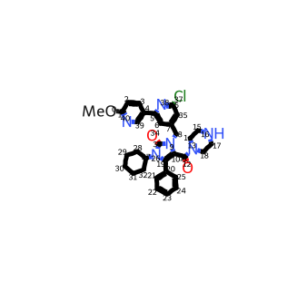 COc1ccc(-c2cc(Cn3c(C(=O)N4CCNCC4)c(-c4ccccc4)n(C4CCCCC4)c3=O)cc(Cl)n2)cn1